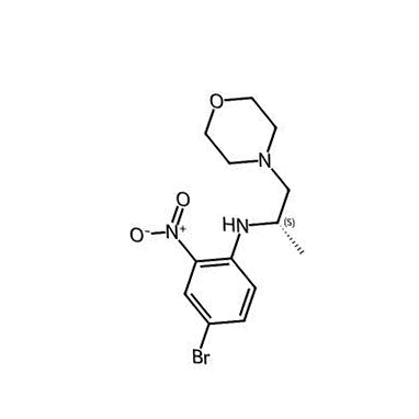 C[C@@H](CN1CCOCC1)Nc1ccc(Br)cc1[N+](=O)[O-]